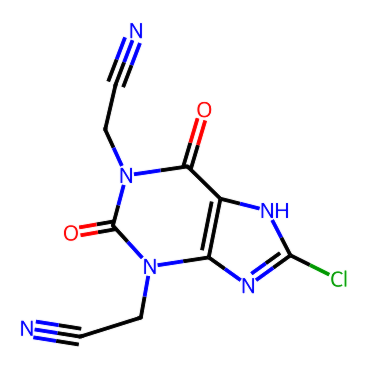 N#CCn1c(=O)c2[nH]c(Cl)nc2n(CC#N)c1=O